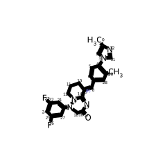 Cc1cn(-c2ccc(/C=C3\CCCN4C3=NC(=O)CN4c3cc(F)cc(F)c3)cc2C)cn1